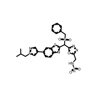 CC(C)Cn1cc(-c2ccc3nc(C(c4nnc(CN[SH](=O)=O)o4)S(=O)(=O)Cc4ccccc4)sc3c2)cn1